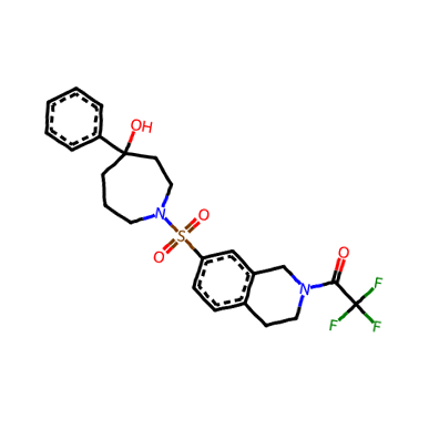 O=C(N1CCc2ccc(S(=O)(=O)N3CCCC(O)(c4ccccc4)CC3)cc2C1)C(F)(F)F